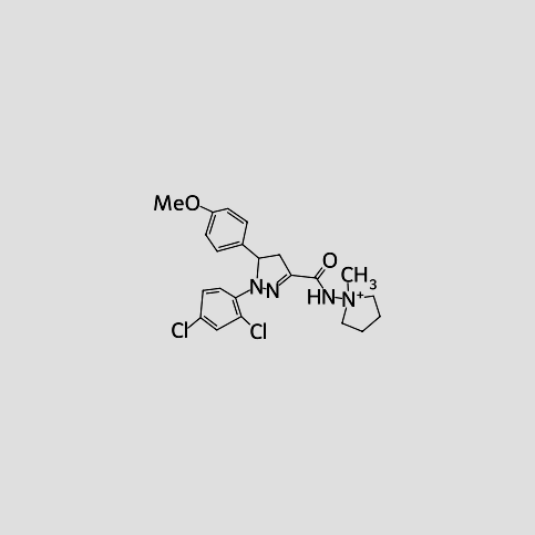 COc1ccc(C2CC(C(=O)N[N+]3(C)CCCC3)=NN2c2ccc(Cl)cc2Cl)cc1